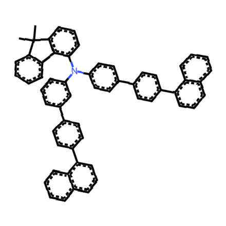 CC1(C)c2ccccc2-c2c(N(c3ccc(-c4ccc(-c5cccc6ccccc56)cc4)cc3)c3cccc(-c4ccc(-c5cccc6ccccc56)cc4)c3)cccc21